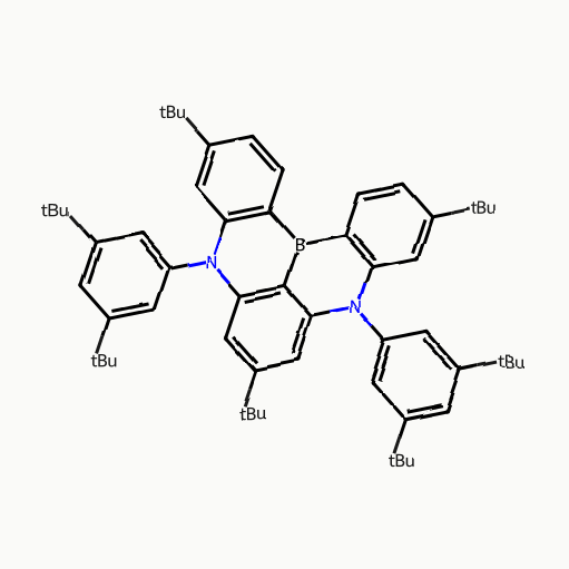 CC(C)(C)c1cc(N2c3cc(C(C)(C)C)ccc3B3c4ccc(C(C)(C)C)cc4N(c4cc(C(C)(C)C)cc(C(C)(C)C)c4)c4cc(C(C)(C)C)cc2c43)cc(C(C)(C)C)c1